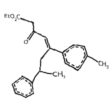 CCOC(=O)CC(=O)/C=C(\CC(C)c1ccccc1)c1ccc(C)cc1